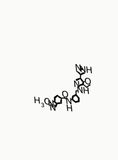 Cn1ncc2cc(C(=O)Nc3cccc(CNc4ncc(-c5cn[nH]c5)c5c4CCO5)c3)ccc21